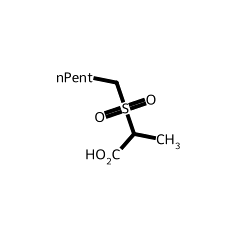 CCCCCCS(=O)(=O)C(C)C(=O)O